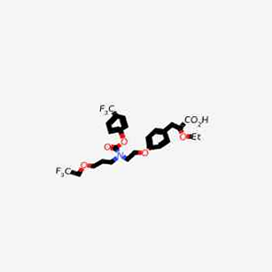 CCOC(Cc1ccc(OCCN(CCCOCC(F)(F)F)C(=O)Oc2ccc(C(F)(F)F)cc2)cc1)C(=O)O